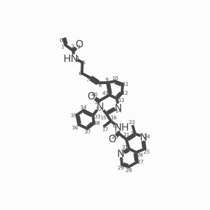 C=CC(=O)NCCC#Cc1cccc2nc(C(C)NC(=O)c3c(C)ncc4cccnc34)n(-c3ccccc3)c(=O)c12